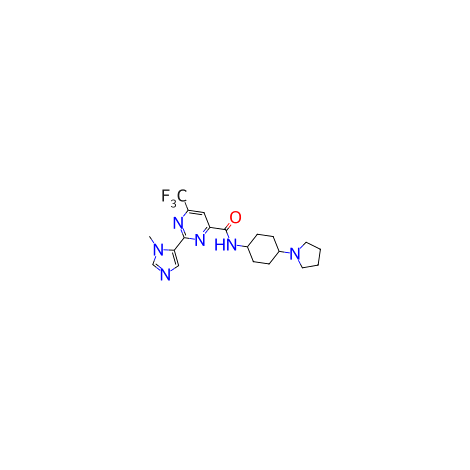 Cn1cncc1-c1nc(C(=O)NC2CCC(N3CCCC3)CC2)cc(C(F)(F)F)n1